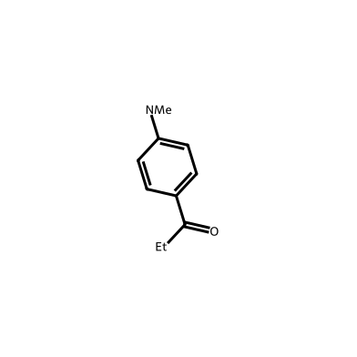 CCC(=O)c1ccc(NC)cc1